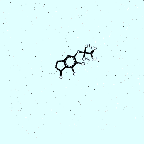 CC(C)(Oc1cc2c(c(Cl)c1Cl)C(=O)CC2)C(N)=O